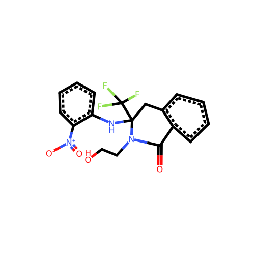 O=C1c2ccccc2CC(Nc2ccccc2[N+](=O)[O-])(C(F)(F)F)N1CCO